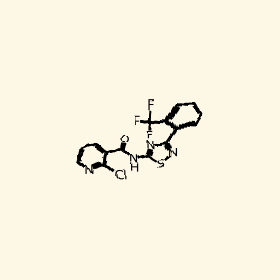 O=C(Nc1nc(-c2ccccc2C(F)(F)F)ns1)c1cccnc1Cl